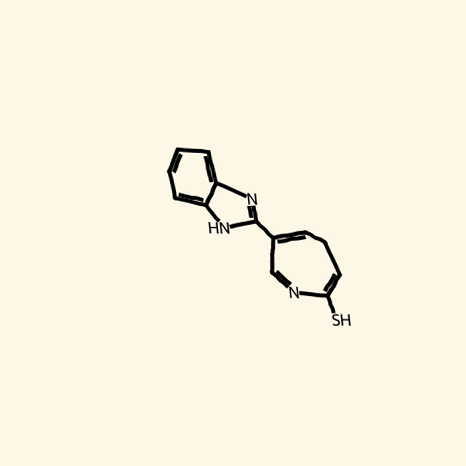 SC1=CCC=C(c2nc3ccccc3[nH]2)C=N1